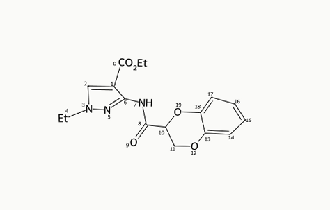 CCOC(=O)c1cn(CC)nc1NC(=O)C1COc2ccccc2O1